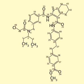 CCC(CC)N(Cc1cccc(C(=O)Nc2sc3c(c2C(=O)Nc2ccc(CCc4ccc(C(=O)OC)cc4)cc2)CCCC3)c1)C(=O)CCl